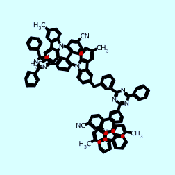 Cc1ccc2c(c1)c1ccccc1n2-c1ccc(-c2nc(-c3ccccc3)nc(-c3cccc(Cc4ccc5c(c4)c4cc(C)ccc4n5-c4ccc(-c5nc(-c6ccccc6)nc(-c6ccccc6)n5)cc4-c4ccc(C#N)cc4-n4c5ccc(C)cc5c5cc(C)ccc54)c3)n2)cc1-c1ccc(C#N)cc1-n1c2ccccc2c2cc(C)ccc21